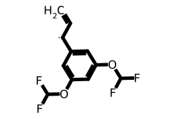 C=C[CH]c1cc(OC(F)F)cc(OC(F)F)c1